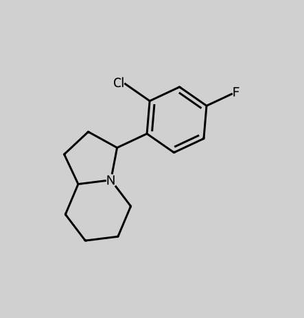 Fc1ccc(C2CCC3CCCCN32)c(Cl)c1